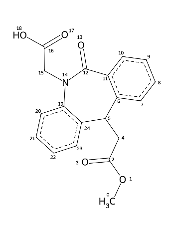 COC(=O)CC1c2ccccc2C(=O)N(CC(=O)O)c2ccccc21